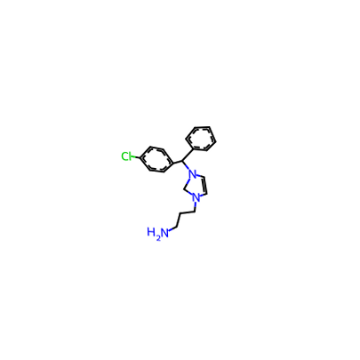 NCCCN1C=CN(C(c2ccccc2)c2ccc(Cl)cc2)C1